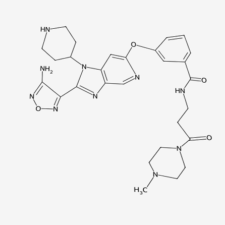 CN1CCN(C(=O)CCNC(=O)c2cccc(Oc3cc4c(cn3)nc(-c3nonc3N)n4C3CCNCC3)c2)CC1